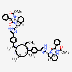 C/C=C1\C=C(\c2ccc(-c3c[nH]c([C@@H]4C[C@@H]5CCCC[C@@H]5N4C(=O)[C@@H](NC(=O)OC)c4ccccc4)n3)cc2)[C@H](C)CC[C@@H](C)/C=C\C(=C(/C)c2ccc(-c3c[nH]c([C@@H]4C[C@@H]5CCCC[C@@H]5N4C(=O)[C@@H](NC(=O)OC)c4ccccc4)n3)cc2)CC1